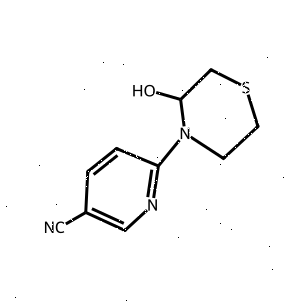 N#Cc1ccc(N2CCSCC2O)nc1